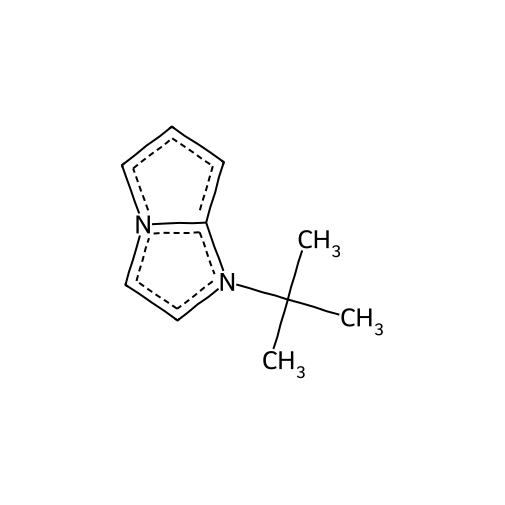 CC(C)(C)n1ccn2cccc12